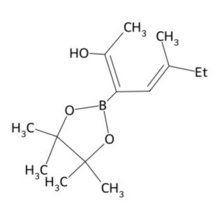 CCC(C)=C/C(B1OC(C)(C)C(C)(C)O1)=C(\C)O